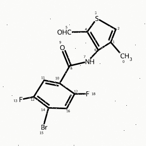 Cc1csc(C=O)c1NC(=O)c1cc(F)c(Br)cc1F